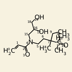 C=CC(=O)N(CCC(C)(CC)[SH](C)(C)=O)CC(O)CO